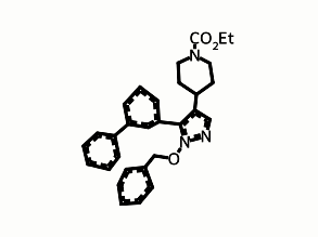 CCOC(=O)N1CCC(c2cnn(OCc3ccccc3)c2-c2cccc(-c3ccccc3)c2)CC1